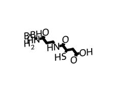 BBNC(=O)CCNC(=O)C(S)CC(=O)O